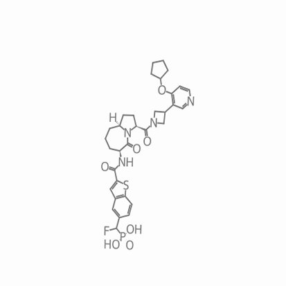 O=C(N[C@H]1CCC[C@H]2CC[C@@H](C(=O)N3CC(c4cnccc4OC4CCCC4)C3)N2C1=O)c1cc2cc(C(F)P(=O)(O)O)ccc2s1